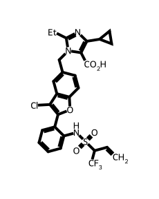 C=CC(C(F)(F)F)S(=O)(=O)Nc1ccccc1-c1oc2ccc(Cn3c(CC)nc(C4CC4)c3C(=O)O)cc2c1Cl